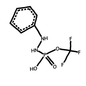 O=P(O)(NNc1ccccc1)OC(F)(F)F